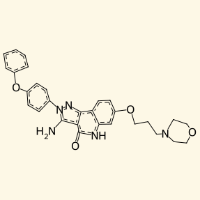 Nc1c2c(=O)[nH]c3cc(OCCCN4CCOCC4)ccc3c2nn1-c1ccc(Oc2ccccc2)cc1